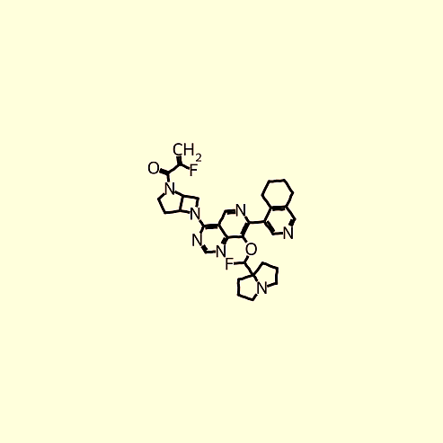 C=C(F)C(=O)N1CCC2C1CN2c1ncnc2c(OC(F)C34CCCN3CCC4)c(-c3cncc4c3CCCC4)ncc12